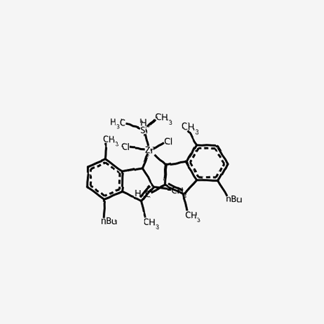 CCCCc1ccc(C)c2c1C(C)=C(C)[CH]2[Zr]([Cl])([Cl])([CH]1C(C)=C(C)c2c(CCCC)ccc(C)c21)[SiH](C)C